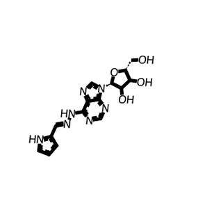 OC[C@H]1O[C@@H](n2cnc3c(N/N=C/c4ccc[nH]4)ncnc32)C(O)C1O